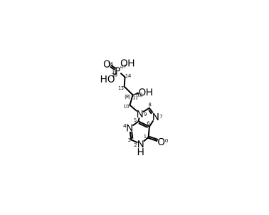 O=c1[nH]cnc2c1ncn2C[C@H](O)CCP(=O)(O)O